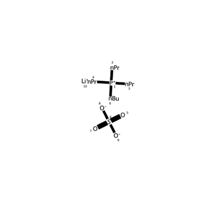 CCCC[P+](CCC)(CCC)CCC.O=S(=O)([O-])[O-].[Li+]